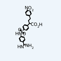 N=C(N)c1ccc(NS(=O)(=O)c2ccc(C(CCc3ccc([N+](=O)[O-])cc3)C(=O)O)cc2)cc1